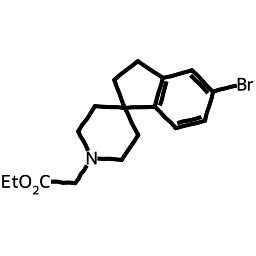 CCOC(=O)CN1CCC2(CCc3cc(Br)ccc32)CC1